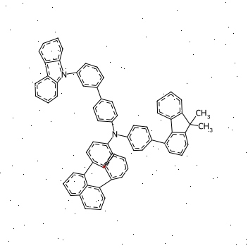 CC1(C)c2ccccc2-c2c(-c3ccc(N(c4ccc(-c5cccc(-n6c7ccccc7c7ccccc76)c5)cc4)c4ccc(-c5cccc6cccc(-c7ccccc7)c56)cc4)cc3)cccc21